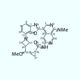 CNc1ncc(-c2nc3cccc(N4CC(COC)C4)c3o2)c2cc(NC(=O)C3CC3)ncc12